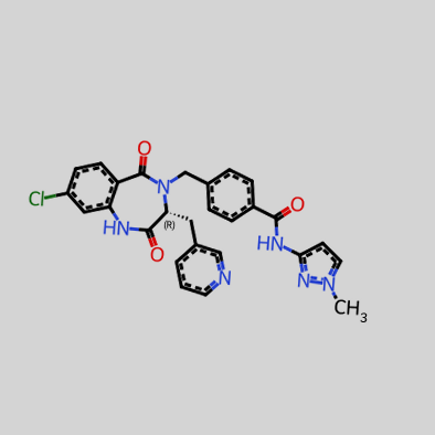 Cn1ccc(NC(=O)c2ccc(CN3C(=O)c4ccc(Cl)cc4NC(=O)[C@H]3Cc3cccnc3)cc2)n1